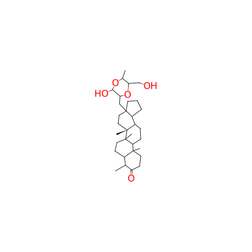 CC1OC(O)C(CC23CCCC2C2CCC4C5(C)CCC(=O)C(C)C5CCC4(C)[C@]2(C)CC3)OC1CO